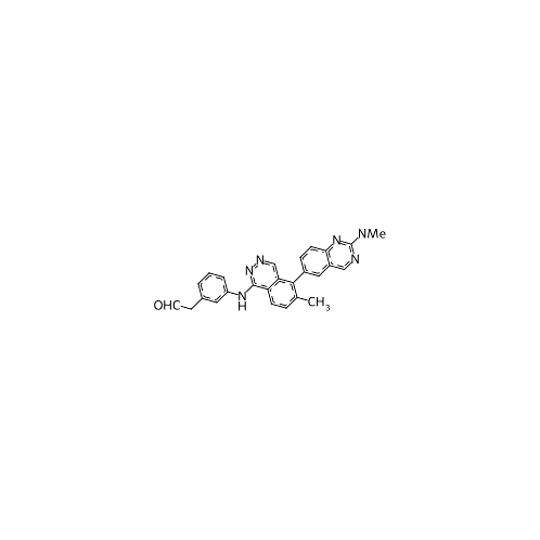 CNc1ncc2cc(-c3c(C)ccc4c(Nc5cccc(CC=O)c5)nncc34)ccc2n1